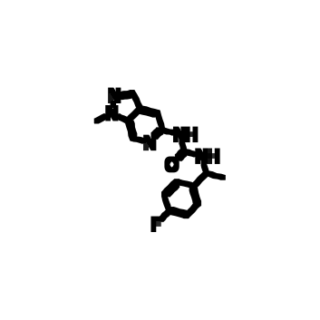 CC(NC(=O)Nc1cc2cnn(C)c2cn1)c1ccc(F)cc1